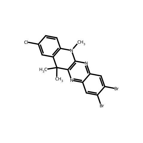 CN1c2ccc(Cl)cc2C(C)(C)c2nc3cc(Br)c(Br)cc3nc21